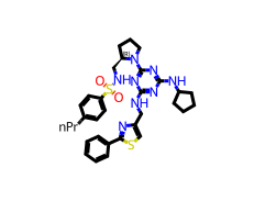 CCCc1ccc(S(=O)(=O)NC[C@H]2CCCN2c2nc(NCc3csc(-c4ccccc4)n3)nc(NC3CCCC3)n2)cc1